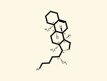 CC(C)CCC[C@@H](C)[C@H]1CC[C@@H]2[C@H]3CC=C4C[CH]CC[C@]4(C)[C@@H]3CC[C@@]21C